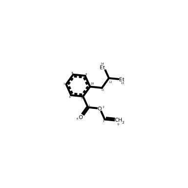 C=COC(=O)c1ccccc1CC(CC)CC